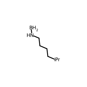 BNCCCCC(C)C